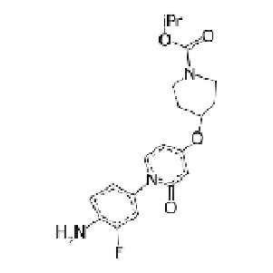 CC(C)OC(=O)N1CCC(Oc2ccn(-c3ccc(N)c(F)c3)c(=O)c2)CC1